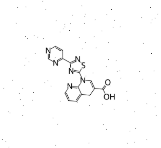 O=C(O)C1=CN(c2nc(-c3ccncn3)ns2)c2ncccc2C1